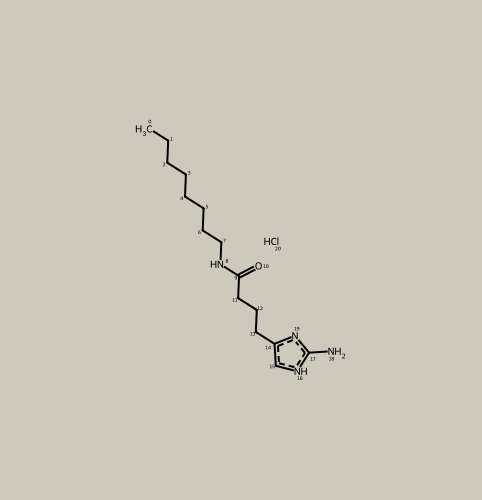 CCCCCCCCNC(=O)CCCc1c[nH]c(N)n1.Cl